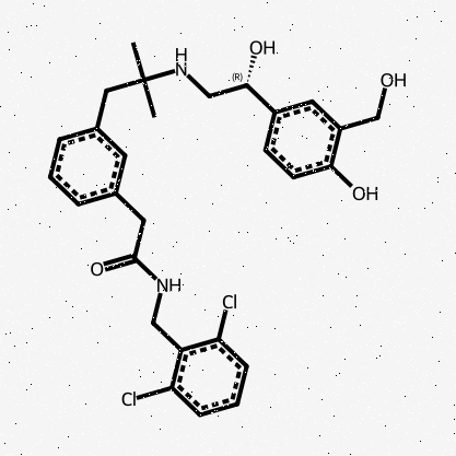 CC(C)(Cc1cccc(CC(=O)NCc2c(Cl)cccc2Cl)c1)NC[C@H](O)c1ccc(O)c(CO)c1